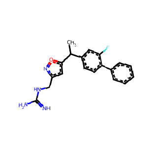 CC(c1ccc(-c2ccccc2)c(F)c1)c1cc(CNC(=N)N)no1